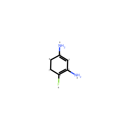 NC1=CC(N)=C(F)CC1